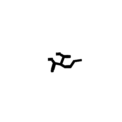 CC/C=C\C(C(=O)O)C(=O)O